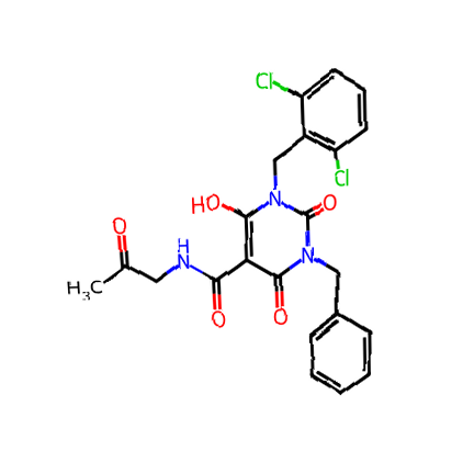 CC(=O)CNC(=O)c1c(O)n(Cc2c(Cl)cccc2Cl)c(=O)n(Cc2ccccc2)c1=O